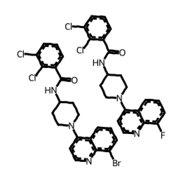 O=C(NC1CCN(c2ccnc3c(Br)cccc23)CC1)c1cccc(Cl)c1Cl.O=C(NC1CCN(c2ccnc3c(F)cccc23)CC1)c1cccc(Cl)c1Cl